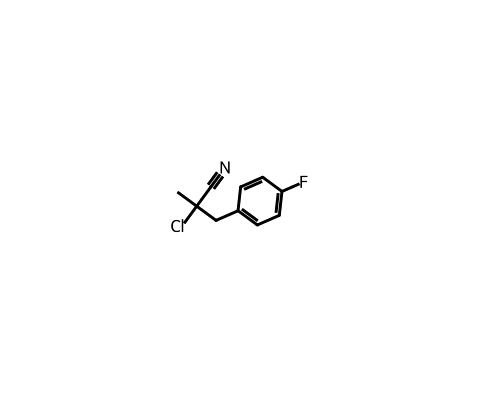 CC(Cl)(C#N)Cc1ccc(F)cc1